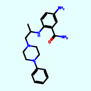 CC(CN1CCN(c2ccccc2)CC1)Nc1ccc(N)cc1C(N)=O